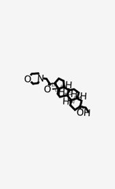 CC[C@@]1(O)CC[C@H]2[C@@H](CC[C@@H]3[C@@H]2CC[C@]2(C)[C@@H](C(=O)CN4CCOCC4)CC[C@@H]32)C1